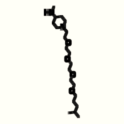 CNC1CCN(CCOCCOCCOCCOCCCC(C)C)CC1